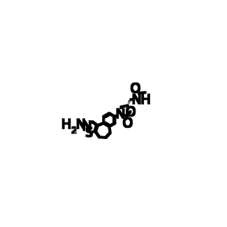 CC(=O)NC[C@H]1CN(c2ccc3c(c2)CCCC2=C3CN(N)S2)C(=O)O1